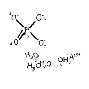 O.O.O.O.O=P([O-])([O-])[O-].[Al+3]